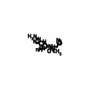 CCCN1C[C@@H](NC(=O)N(C)CCc2cccnc2)C[C@@H]2Cc3nc(N)ncc3C[C@H]21